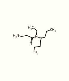 CCCN(CCC)N(CC)C(=O)CCN